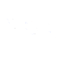 Cn1cc2cc(-c3nc4ncc(C5CC(C)(C)NC(C)(C)C5)cc4c(=O)[nH]3)ccc2n1